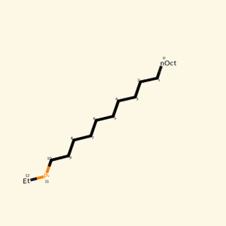 CCCCCCCCCCCCCCCCCC[P]CC